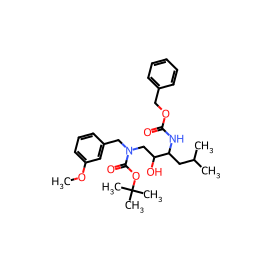 COc1cccc(CN(CC(O)C(CC(C)C)NC(=O)OCc2ccccc2)C(=O)OC(C)(C)C)c1